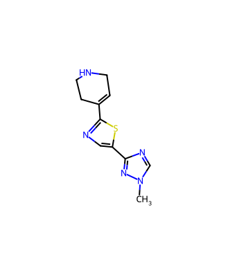 Cn1cnc(-c2cnc(C3=CCNCC3)s2)n1